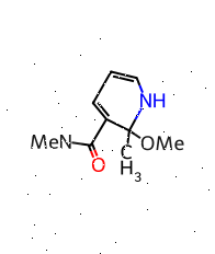 CNC(=O)C1=CC=CNC1(C)OC